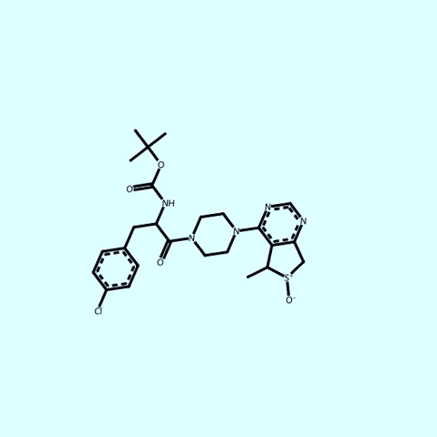 CC1c2c(ncnc2N2CCN(C(=O)C(Cc3ccc(Cl)cc3)NC(=O)OC(C)(C)C)CC2)C[S+]1[O-]